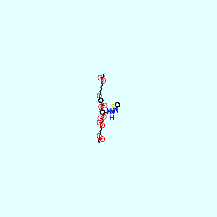 C=CC(=O)OCCCCCCOc1ccc(C(=O)Oc2ccc(OC(=O)CC(=O)OCCCCOC(=O)C=C)c(/C=N/Nc3nc4ccccc4s3)c2)cc1